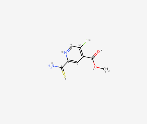 COC(=O)c1cc(C(N)=S)ncc1F